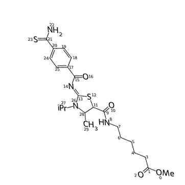 COC(=O)CCCCCNC(=O)C1SC(=NC(=O)c2ccc(C(N)=S)cc2)N(C(C)C)C1C